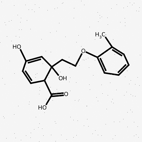 Cc1ccccc1OCCC1(O)C=C(O)C=CC1C(=O)O